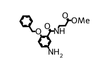 COC(=O)CCNC(=O)c1cc(N)ccc1OCc1ccccc1